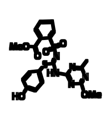 COC(=O)c1ccccc1S(=O)(=O)N=C(Nc1nc(C)nc(OC)n1)Sc1ccc(O)cc1